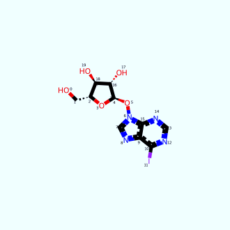 OC[C@H]1O[C@H](On2cnc3c(I)ncnc32)[C@@H](O)[C@@H]1O